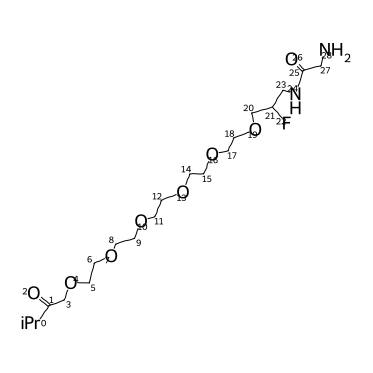 CC(C)C(=O)COCCOCCOCCOCCOCCOCC(F)CNC(=O)CN